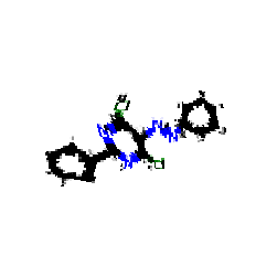 Clc1nc(-c2ccccc2)nc(Cl)c1N=Nc1ccccc1